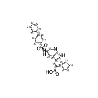 O=C(O)/C(=C/c1c[nH]c2ncc(NS(=O)(=O)c3ccc(-c4ccccc4)cc3)cc12)c1ccccc1